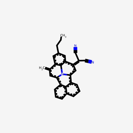 C=c1cc2c3cccc4cccc(c5cc(=C(C#N)C#N)c6cc(CCC)cc1c6N25)c43